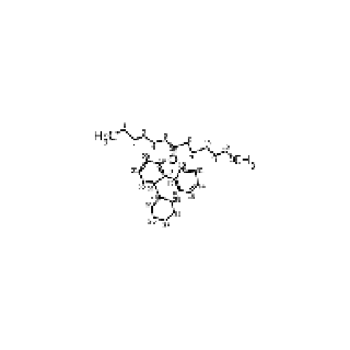 CCCCCCC(=O)CCCCCC.c1ccc(-c2ccccc2C2CCCCC2)cc1